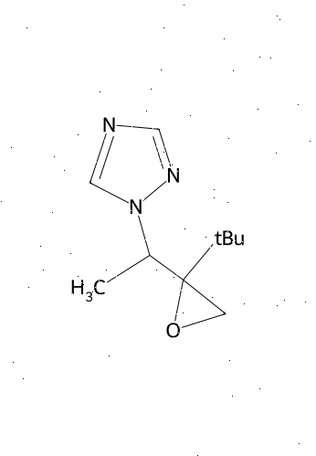 CC(n1cncn1)C1(C(C)(C)C)CO1